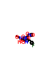 COCCNC(=O)c1c(O)c2ncc(Cc3ccc(F)cc3)c3c2n(c1=O)C=C(C(=O)N1CCOCC1)O3